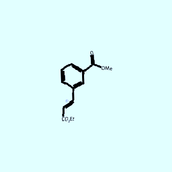 CCOC(=O)/C=C/c1cccc(C(=O)OC)c1